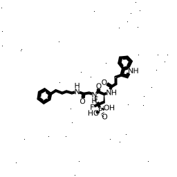 O=C(CNC(=O)[C@H](CC(F)(F)P(=O)(O)O)NC(=O)CCc1c[nH]c2ccccc12)NCCCCc1ccccc1